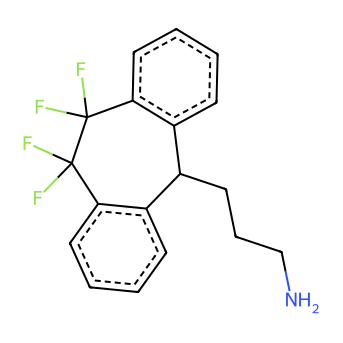 NCCCC1c2ccccc2C(F)(F)C(F)(F)c2ccccc21